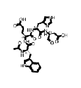 CC(=O)N[C@@H](Cc1c[nH]c2ccccc12)C(=O)N[C@@H](CCC(=O)O)C(=O)N[C@@H](Cc1c[nH]cn1)C(=O)N[C@H](C=O)CC(=O)O